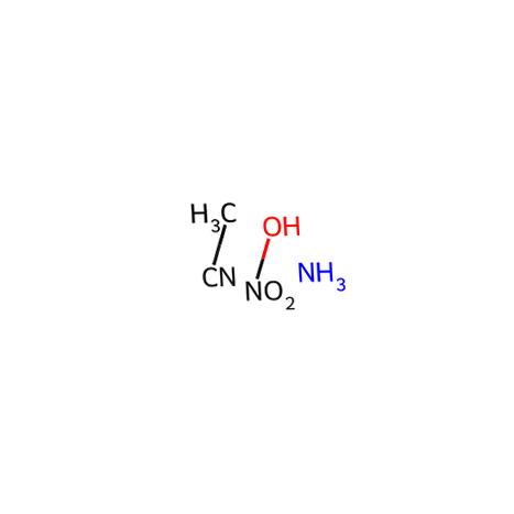 CC#N.N.O=[N+]([O-])O